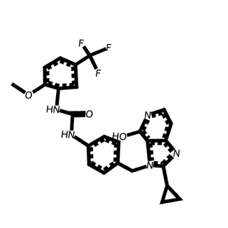 COc1ccc(C(F)(F)F)cc1NC(=O)Nc1ccc(Cn2c(C3CC3)nc3ccnc(O)c32)cc1